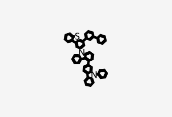 c1ccc(-c2cccc(-c3cc(-n4c5ccccc5c5c(-c6ccc7c8ccccc8n(-c8ccccc8)c7c6)cccc54)cc4c3sc3ccccc34)c2)cc1